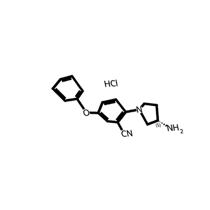 Cl.N#Cc1cc(Oc2ccccc2)ccc1N1CC[C@H](N)C1